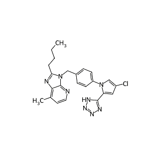 CCCCc1nc2c(C)ccnc2n1Cc1ccc(-n2cc(Cl)cc2-c2nnn[nH]2)cc1